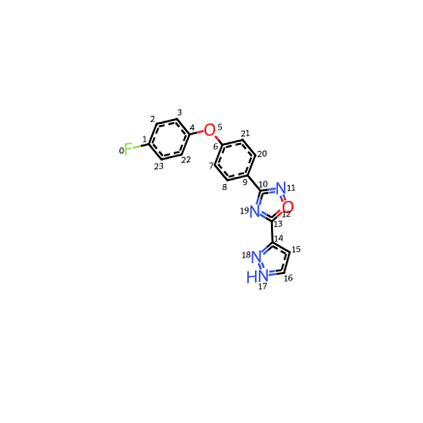 Fc1ccc(Oc2ccc(-c3noc(-c4cc[nH]n4)n3)cc2)cc1